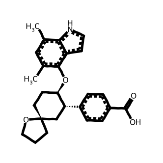 Cc1cc(C)c2[nH]ccc2c1O[C@@H]1CC[C@]2(CCCO2)C[C@H]1c1ccc(C(=O)O)cc1